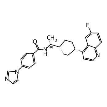 C[C@@H](NC(=O)c1ccc(-n2ccnc2)cc1)[C@H]1CC[C@@H](c2ccnc3ccc(F)cc32)CC1